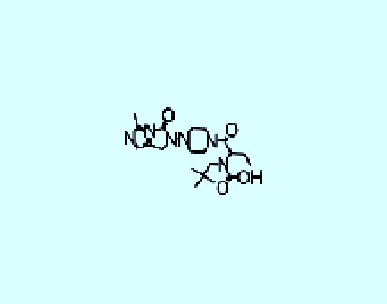 CCC(C(=O)N1CCN(N2Cc3cnc(C)n3C2=O)CC1)N(CC(C)(C)C)C(=O)O